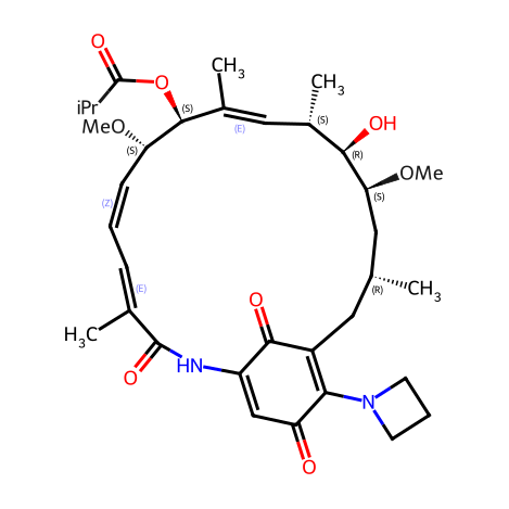 CO[C@H]1/C=C\C=C(/C)C(=O)NC2=CC(=O)C(N3CCC3)=C(C[C@@H](C)C[C@H](OC)[C@H](O)[C@@H](C)/C=C(\C)[C@@H]1OC(=O)C(C)C)C2=O